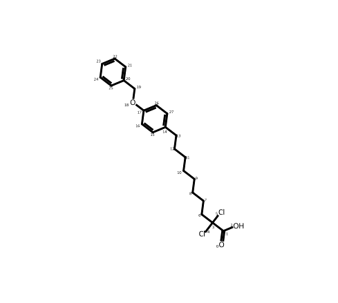 O=C(O)C(Cl)(Cl)CCCCCCCCc1ccc(OCc2ccccc2)cc1